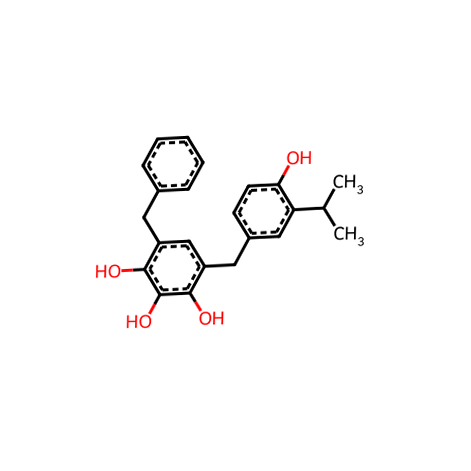 CC(C)c1cc(Cc2cc(Cc3ccccc3)c(O)c(O)c2O)ccc1O